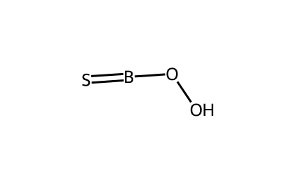 OOB=S